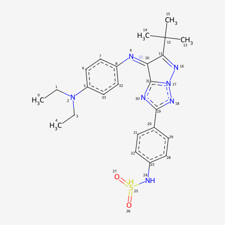 CCN(CC)c1ccc(/N=C2/C(C(C)(C)C)=Nn3nc(-c4ccc(N[SH](=O)=O)cc4)nc32)cc1